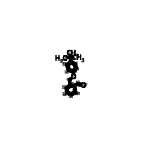 CC(C)(C)c1ccc(OCc2ccccc2C=O)cc1